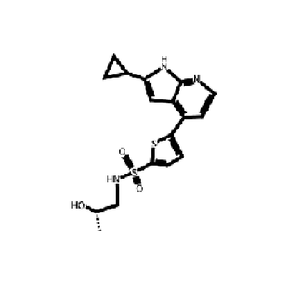 C[C@H](O)CNS(=O)(=O)c1ccc(-c2ccnc3[nH]c(C4CC4)cc23)s1